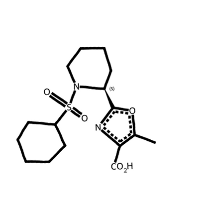 Cc1oc([C@@H]2CCCCN2S(=O)(=O)C2CCCCC2)nc1C(=O)O